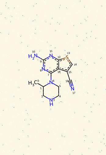 CC1CNCCN1c1nc(N)nc2scc(C#N)c12